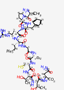 CC[C@H](C)[C@H](NC(=O)CNC(=O)[C@H](CCSC)NC(=O)[C@H](CCCNC(=N)N)NC(=O)[C@H](Cc1ccccc1)NC(=O)[C@@H]1CCCN1C(=O)[C@H](C)N)C(=O)N[C@@H](CS)C(=O)N[C@H](C(=O)N[C@H](C(=O)N[C@@H](CC(N)=O)C(=O)O)[C@@H](C)O)[C@@H](C)O